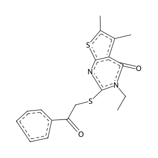 CCn1c(SCC(=O)c2ccccc2)nc2sc(C)c(C)c2c1=O